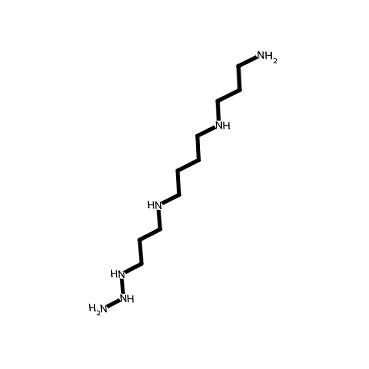 NCCCNCCCCNCCCNNN